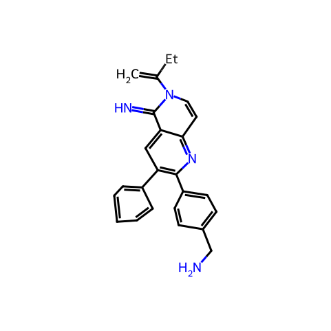 C=C(CC)n1ccc2nc(-c3ccc(CN)cc3)c(-c3ccccc3)cc2c1=N